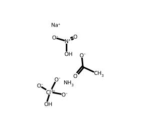 CC(=O)[O-].N.O=[N+]([O-])O.[Na+].[O-][Cl+3]([O-])([O-])O